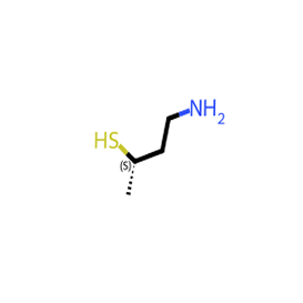 C[C@H](S)CCN